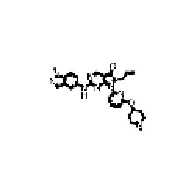 C=CCn1c(=O)c2cnc(Nc3ccc4c(cnn4C)c3)nc2n1-c1cccc(OC2CCN(C)CC2)n1